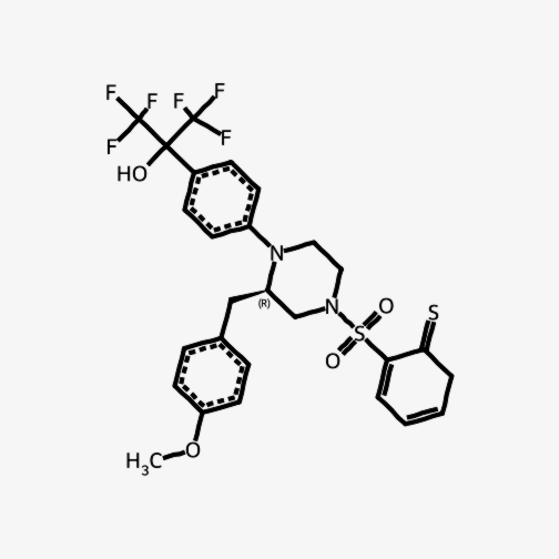 COc1ccc(C[C@@H]2CN(S(=O)(=O)C3=CC=CCC3=S)CCN2c2ccc(C(O)(C(F)(F)F)C(F)(F)F)cc2)cc1